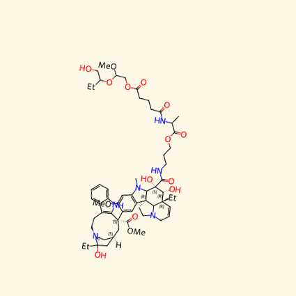 CCC(CO)OC(COC(=O)CCCC(=O)NC(C)C(=O)OCCCNC(=O)[C@]1(O)C2N(C)c3cc(OC)c([C@@]4(C(=O)OC)C[C@@H]5C[N@](CCc6c4[nH]c4ccccc64)C(O)(CC)C5)cc3[C@@]23CCN2CC=C[C@](CC)(C23)[C@H]1O)OC